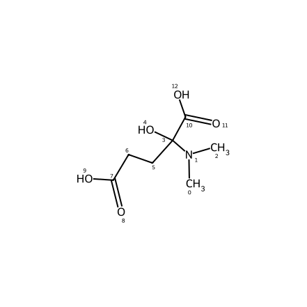 CN(C)C(O)(CCC(=O)O)C(=O)O